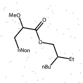 CCCCCCCCCCC(OC)C(=O)OCC(CC)CCCC